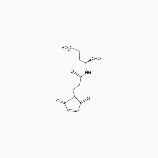 O=[C][C@H](CCC(=O)O)NC(=O)CCN1C(=O)C=CC1=O